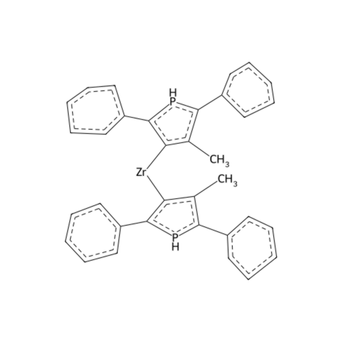 Cc1c(-c2ccccc2)[pH]c(-c2ccccc2)[c]1[Zr][c]1c(-c2ccccc2)[pH]c(-c2ccccc2)c1C